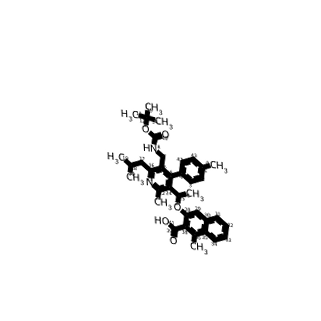 Cc1ccc(-c2c(CNC(=O)OC(C)(C)C)c(CC(C)C)nc(C)c2C(C)Oc2cc3ccccc3c(C)c2C(=O)O)cc1